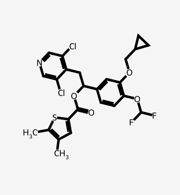 Cc1cc(C(=O)OC(Cc2c(Cl)cncc2Cl)c2ccc(OC(F)F)c(OCC3CC3)c2)sc1C